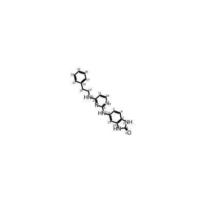 O=c1[nH]c2ccc(Nc3nccc(NCCc4ccccc4)n3)cc2[nH]1